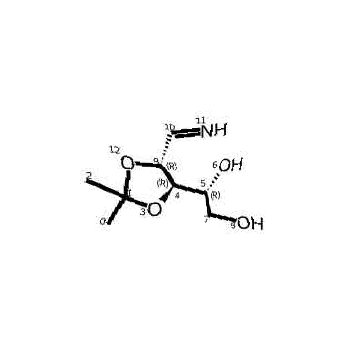 CC1(C)O[C@H]([C@H](O)CO)[C@@H](C=N)O1